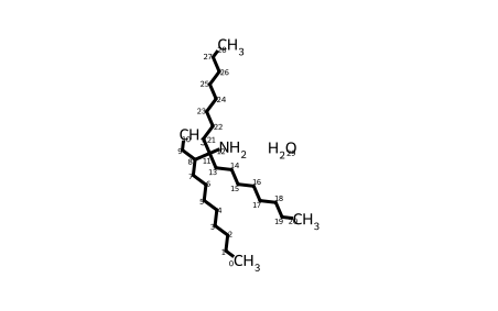 CCCCCCCCC(CC)C(N)(CCCCCCCC)CCCCCCCC.O